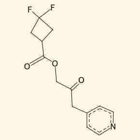 O=C(COC(=O)C1CC(F)(F)C1)Cc1ccncc1